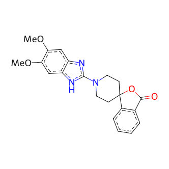 COc1cc2nc(N3CCC4(CC3)OC(=O)c3ccccc34)[nH]c2cc1OC